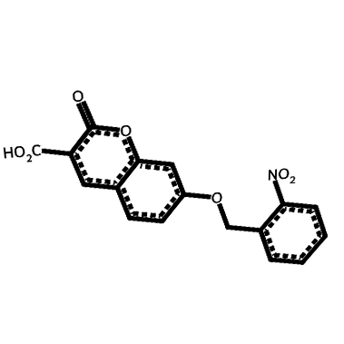 O=C(O)c1cc2ccc(OCc3ccccc3[N+](=O)[O-])cc2oc1=O